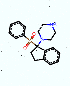 O=S(=O)(c1ccccc1)C1(N2CCNCC2)CCc2ccccc21